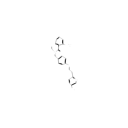 CCOC(=O)CN(Cc1ccc(OCCc2ccc(CC)cn2)cc1)C(=O)c1ccccc1OC